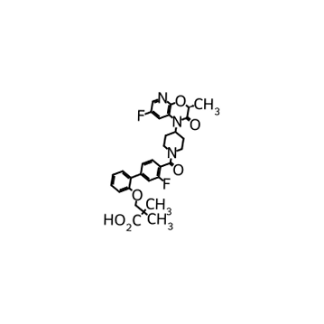 C[C@@H]1Oc2ncc(F)cc2N(C2CCN(C(=O)c3ccc(-c4ccccc4OCC(C)(C)C(=O)O)cc3F)CC2)C1=O